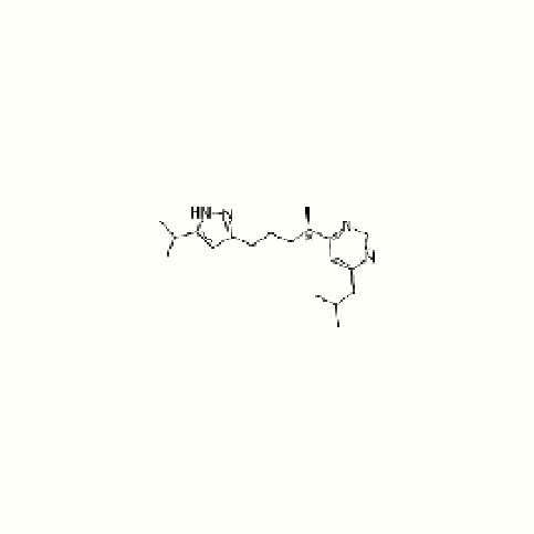 CC(C)Cc1cc([C@H](C)CCCc2cc(C(C)C)[nH]n2)ncn1